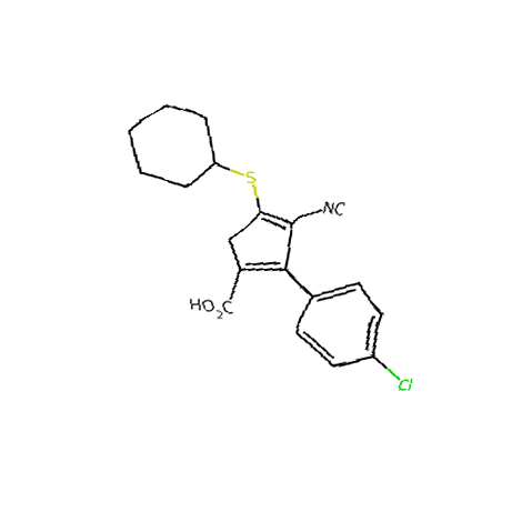 [C-]#[N+]C1=C(SC2CCCCC2)CC(C(=O)O)=C1c1ccc(Cl)cc1